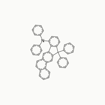 c1ccc(N(c2ccccc2)c2cccc3c2-c2cc4ccc5ccccc5c4cc2C3(c2ccccc2)c2ccccc2)cc1